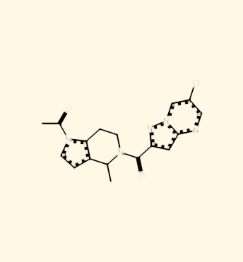 CC(=O)n1ccc2c1CCN(C(=O)c1cc3ncc(Cl)cn3n1)C2C